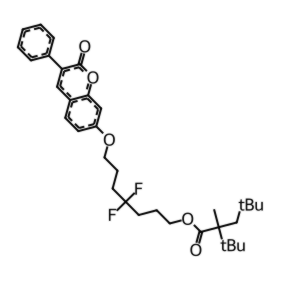 CC(C)(C)CC(C)(C(=O)OCCCC(F)(F)CCCOc1ccc2cc(-c3ccccc3)c(=O)oc2c1)C(C)(C)C